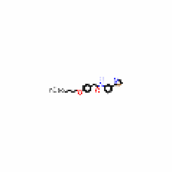 CCCCCCCCCCCCCCOc1ccc(CC(=O)Nc2cccc(-c3nccs3)c2)cc1